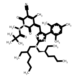 CCCCC(CC)CN(C[C@@H](CC)CCCC)c1nc(-c2c(C)cc(C)cc2C)c(/C=C2\C(=O)N(N(C)C(=O)C(C)(C)C)C(=O)C(C#N)=C2C)s1